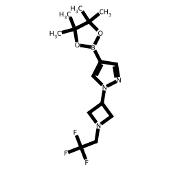 CC1(C)OB(c2cnn(C3CN(CC(F)(F)F)C3)c2)OC1(C)C